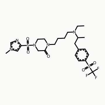 CCN(CCCCN1CCN(S(=O)(=O)c2cn(C)cn2)CC1=O)C(C)Cc1ccc(S(=O)(=O)C(F)(F)F)cc1